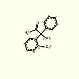 NC(=O)C(c1ccccc1)(c1ccccc1C(=O)O)[N+](=O)[O-]